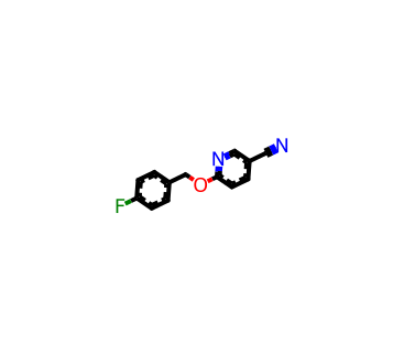 N#Cc1ccc(OCc2ccc(F)cc2)nc1